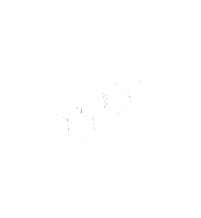 CCc1ccc(C2=NC(C)CC=C2)cc1